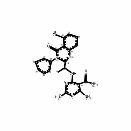 CC(Nc1nc(N)nc(N)c1C(N)=O)c1nc2cccc(Cl)c2c(=O)n1-c1ccccc1